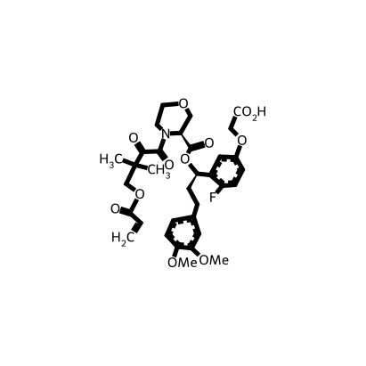 C=CC(=O)OCC(C)(C)C(=O)C(=O)N1CCOC[C@H]1C(=O)O[C@H](CCc1ccc(OC)c(OC)c1)c1cc(OCC(=O)O)ccc1F